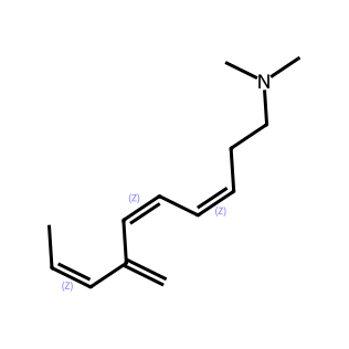 C=C(/C=C\C)/C=C\C=C/CCN(C)C